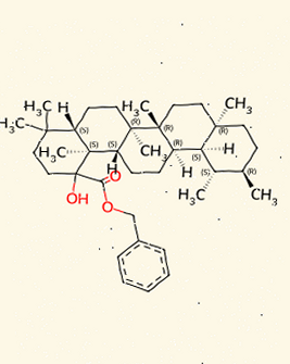 C[C@@H]1[C@H]2[C@H]3CC[C@@H]4[C@]5(C)[C@@H](CC[C@@]4(C)[C@]3(C)CC[C@@]2(C)CC[C@H]1C)C(C)(C)CCC5(O)C(=O)OCc1ccccc1